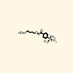 [CH2]CCCCCCCCCCCCCOOC(=O)c1ccc([Si](C)(C)C)cc1